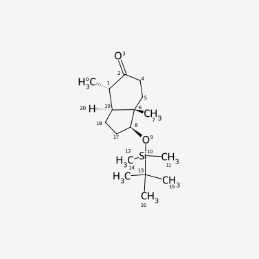 C[C@@H]1C(=O)CC[C@]2(C)[C@@H](O[Si](C)(C)C(C)(C)C)CC[C@@H]12